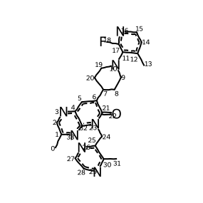 Cc1cnc2cc(C3CCN(c4c(C)ccnc4F)CC3)c(=O)n(Cc3nccnc3C)c2n1